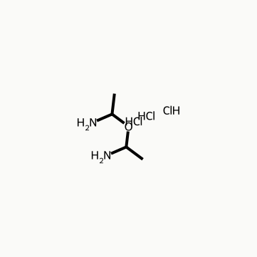 CC(N)OC(C)N.Cl.Cl.Cl